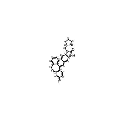 O=c1[nH]c2cc(/C=C3\c4ccccc4COc4cc(F)ccc43)ccc2n1C[C@H]1CCCN1